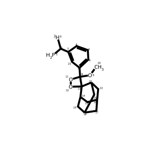 [2H]C(P)c1cccc(C2(OC)OOC23C2CC4CC(C2)CC3C4)c1